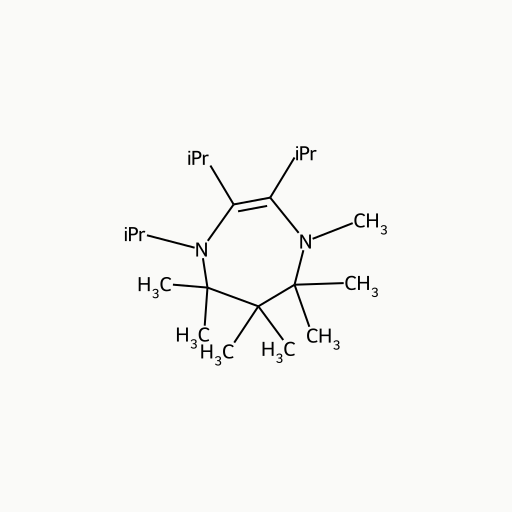 CC(C)C1=C(C(C)C)N(C(C)C)C(C)(C)C(C)(C)C(C)(C)N1C